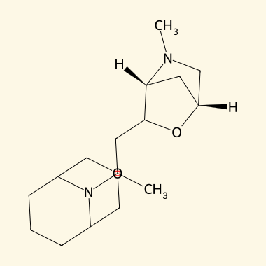 CC(CC1O[C@@H]2C[C@H]1N(C)C2)N1C2CCCC1COC2